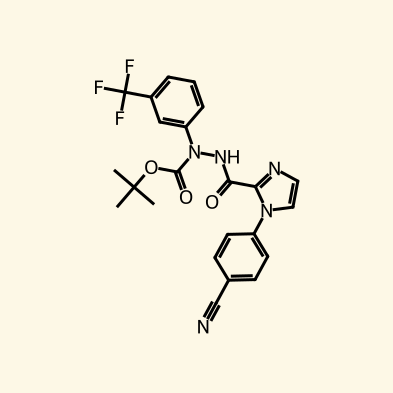 CC(C)(C)OC(=O)N(NC(=O)c1nccn1-c1ccc(C#N)cc1)c1cccc(C(F)(F)F)c1